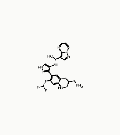 NCC1CNc2cc(OC(F)F)c(-c3n[nH]cc3NC(O)c3cnn4cccnc34)cc2S1